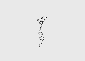 CCCC1CCC(C2CCC(CCC=Cc3cc(F)c(F)c(F)c3)CC2)CC1